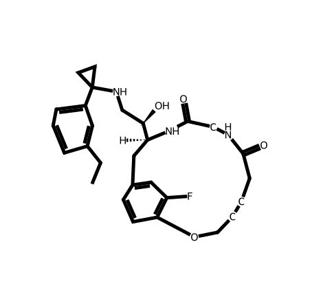 CCc1cccc(C2(NC[C@@H](O)[C@@H]3Cc4ccc(c(F)c4)OCCCCC(=O)NCC(=O)N3)CC2)c1